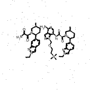 CCn1cc2ccc(C3CCC(C)CN3C(=O)C(=O)Nc3cnc(N)c4cnn(COCC[Si](C)(C)C)c34)cc2n1.CCn1cc2ccc(C3CCC(C)CN3C(=O)C(N)=O)cc2n1